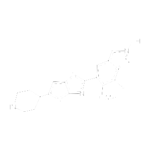 COc1c(-c2nc3sc(C4CCNCC4)cc3s2)cc2cn(C)nc2c1F